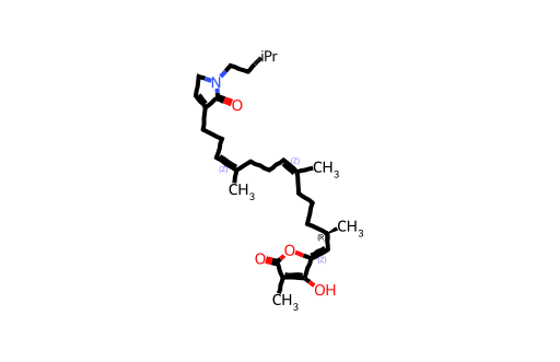 CC1=C(O)/C(=C/[C@H](C)CCC/C(C)=C\CC/C(C)=C\CCC2=CCN(CCC(C)C)C2=O)OC1=O